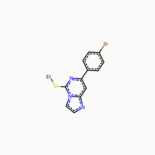 CCSc1nc(-c2ccc(Br)cc2)cc2nccn12